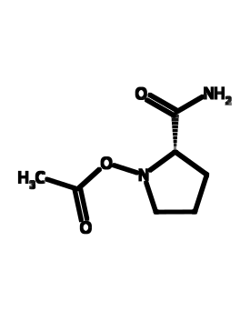 CC(=O)ON1CCC[C@H]1C(N)=O